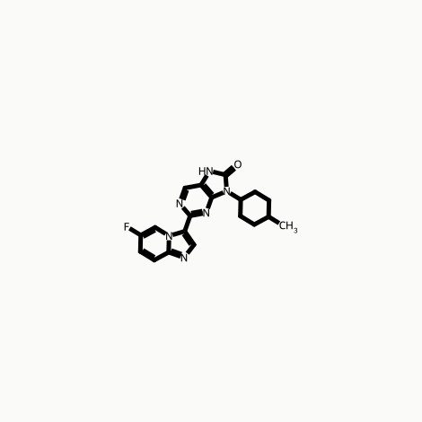 CC1CCC(n2c(=O)[nH]c3cnc(-c4cnc5ccc(F)cn45)nc32)CC1